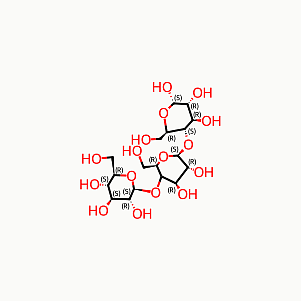 OC[C@H]1O[C@@H](O[C@H]2[C@H](O)[C@@H](O)[C@@H](O)O[C@@H]2CO)[C@H](O)[C@@H](O)C1O[C@@H]1O[C@H](CO)[C@@H](O)[C@H](O)[C@H]1O